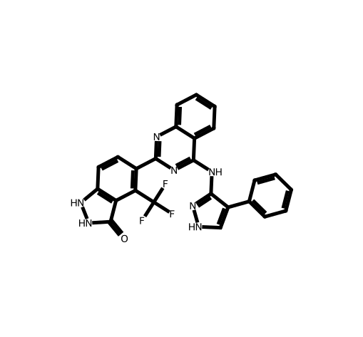 O=c1[nH][nH]c2ccc(-c3nc(Nc4n[nH]cc4-c4ccccc4)c4ccccc4n3)c(C(F)(F)F)c12